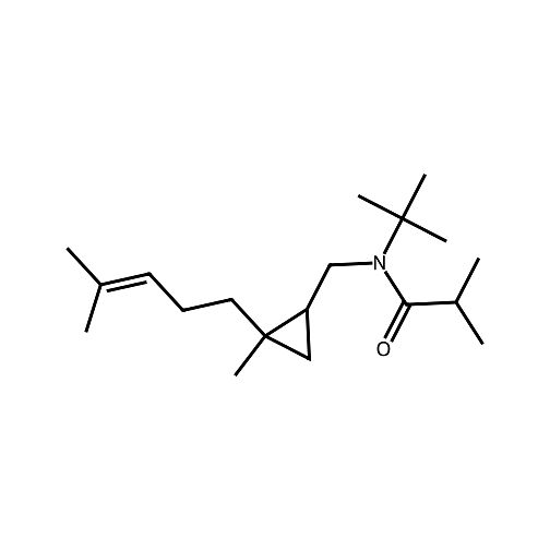 CC(C)=CCCC1(C)CC1CN(C(=O)C(C)C)C(C)(C)C